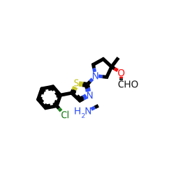 CC1(OC=O)CCN(c2ncc(-c3ccccc3Cl)s2)C1.CN